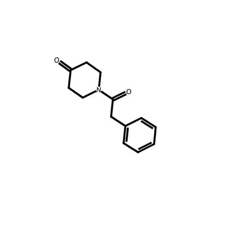 O=C1CCN(C(=O)Cc2ccccc2)CC1